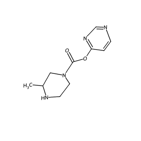 CC1CN(C(=O)Oc2ccncn2)CCN1